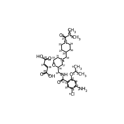 CC(C)Oc1cc(N)c(Cl)cc1C(=O)NCC1CN(CC2CCN(C(=O)N(C)C)CC2)CCO1.O=C(O)C=CC(=O)O